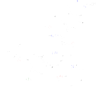 Cn1ncc2c3c(ccc21)C(C(=O)N[C@H](CN1CCCC1)[C@H](O)c1ccc(OC2CC2)c(Cl)c1)=NOC3